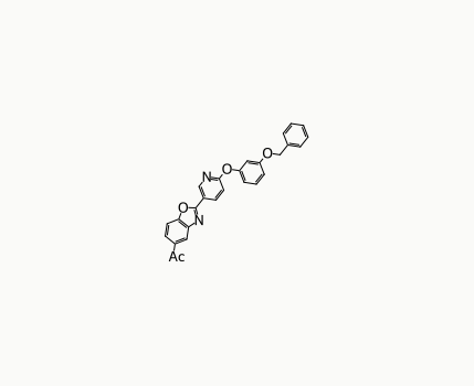 CC(=O)c1ccc2oc(-c3ccc(Oc4cccc(OCc5ccccc5)c4)nc3)nc2c1